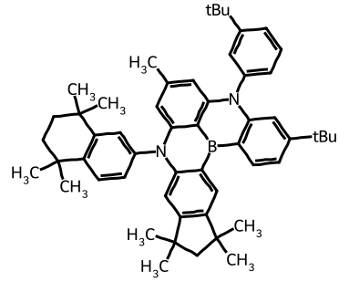 Cc1cc2c3c(c1)N(c1ccc4c(c1)C(C)(C)CCC4(C)C)c1cc4c(cc1B3c1ccc(C(C)(C)C)cc1N2c1cccc(C(C)(C)C)c1)C(C)(C)CC4(C)C